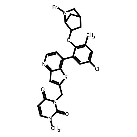 Cc1cc(Cl)cc(-c2ccnc3cc(Cn4c(=O)ccn(C)c4=O)sc23)c1OC1CC2CC1N(C(C)C)C2